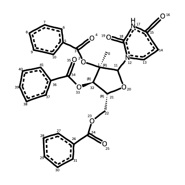 C[C@]1(OC(=O)c2ccccc2)C(n2ccc(=O)[nH]c2=O)O[C@H](COC(=O)c2ccccc2)[C@H]1OC(=O)c1ccccc1